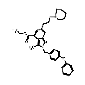 CCOC(=O)c1cc(CCCN2CCCCC2)nc2nn(Cc3ccc(Oc4ccccc4)cc3)c(C)c12